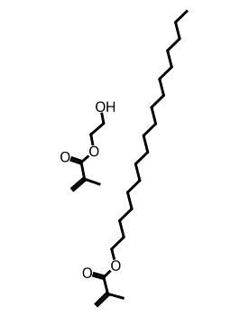 C=C(C)C(=O)OCCCCCCCCCCCCCCCCCC.C=C(C)C(=O)OCCO